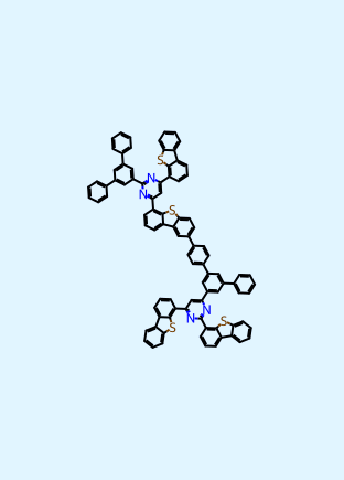 c1ccc(-c2cc(-c3ccc(-c4ccc5sc6c(-c7cc(-c8cccc9c8sc8ccccc89)nc(-c8cc(-c9ccccc9)cc(-c9ccccc9)c8)n7)cccc6c5c4)cc3)cc(-c3cc(-c4cccc5c4sc4ccccc45)nc(-c4cccc5c4sc4ccccc45)n3)c2)cc1